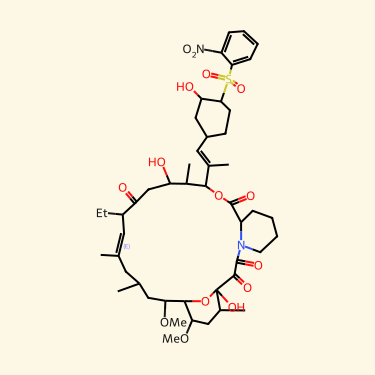 CCC1/C=C(\C)CC(C)CC(OC)C2OC(O)(C(=O)C(=O)N3CCCCC3C(=O)OC(C(C)=CC3CCC(S(=O)(=O)c4ccccc4[N+](=O)[O-])C(O)C3)C(C)C(O)CC1=O)C(C)CC2OC